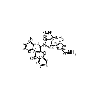 CC(c1oc2ccccc2c(=O)c1-c1cccc(F)c1)n1nc(-c2ccc(CN)s2)c2c(N)ncnc21